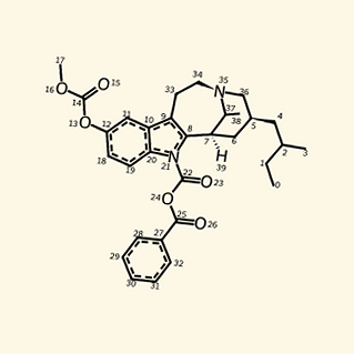 CCC(C)C[C@H]1C[C@H]2c3c(c4cc(OC(=O)OC)ccc4n3C(=O)OC(=O)c3ccccc3)CC[N@@](C1)C2C